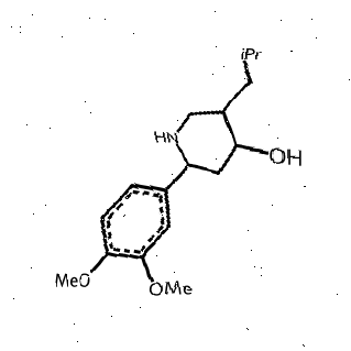 COc1ccc(C2CC(O)C(CC(C)C)CN2)cc1OC